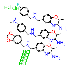 CC1Oc2ccc(CNCc3ccc(F)cc3)cc2N=C1N.CC1Oc2ccc(CNCc3ccc(N(C)C)cc3)cc2N=C1N.CC1Oc2ccc(CNCc3ccc4c(c3)OCO4)cc2N=C1N.Cl.Cl.Cl.Cl.Cl.Cl.Cl